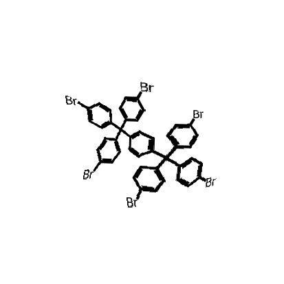 Brc1ccc(C(c2ccc(Br)cc2)(c2ccc(Br)cc2)c2ccc(C(c3ccc(Br)cc3)(c3ccc(Br)cc3)c3ccc(Br)cc3)cc2)cc1